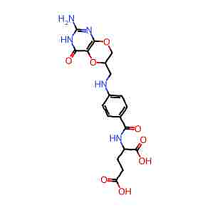 Nc1nc2c(c(=O)[nH]1)OC(CNc1ccc(C(=O)NC(CCC(=O)O)C(=O)O)cc1)CO2